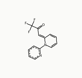 O=C(/C=C1\C=CC=CN1c1ccccn1)C(F)(F)F